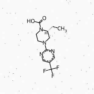 CC[C@@H]1CN(c2ncc(C(F)(F)F)cn2)CCN1C(=O)O